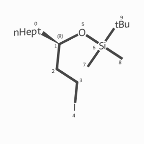 CCCCCCC[C@H](CCI)O[Si](C)(C)C(C)(C)C